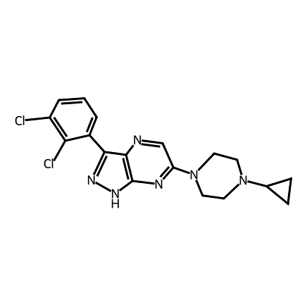 Clc1cccc(-c2n[nH]c3nc(N4CCN(C5CC5)CC4)cnc23)c1Cl